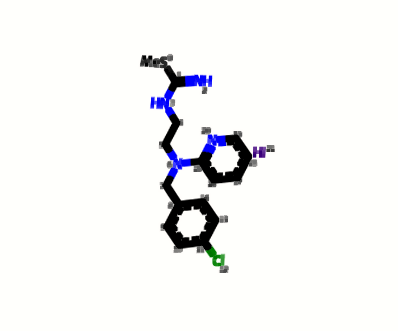 CSC(=N)NCCN(Cc1ccc(Cl)cc1)c1ccccn1.I